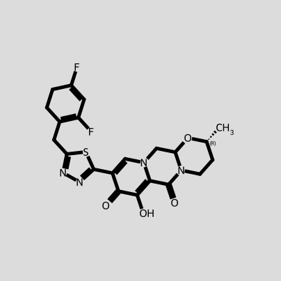 C[C@@H]1CCN2C(=O)c3c(O)c(=O)c(-c4nnc(CC5=C(F)C=C(F)CC5)s4)cn3CC2O1